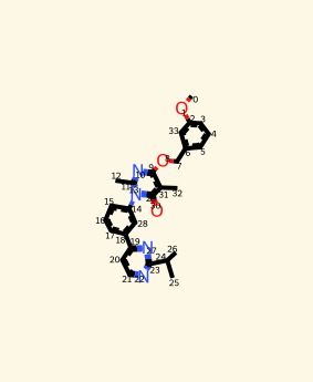 COc1cccc(COc2nc(C)n(-c3cccc(-c4ccnc(C(C)C)n4)c3)c(=O)c2C)c1